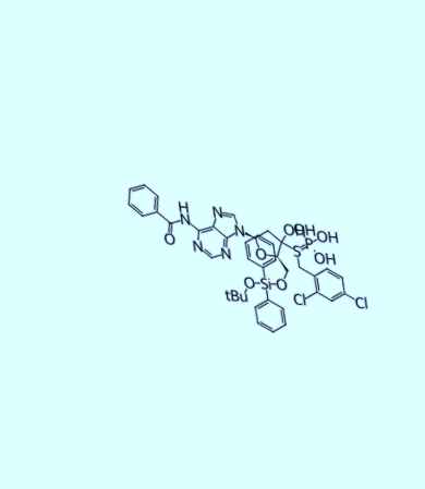 CC(C)(C)O[Si](OC[C@H]1O[C@@H](n2cnc3c(NC(=O)c4ccccc4)ncnc32)CC1(O)S(Cc1ccc(Cl)cc1Cl)=P(O)(O)O)(c1ccccc1)c1ccccc1